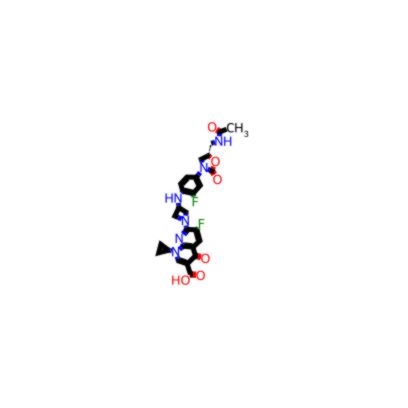 CC(=O)NC[C@H]1CN(c2ccc(NC3CN(c4nc5c(cc4F)c(=O)c(C(=O)O)cn5C4CC4)C3)c(F)c2)C(=O)O1